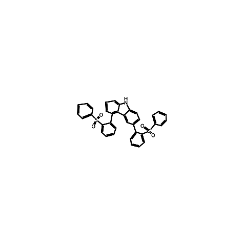 O=S(=O)(c1ccccc1)c1ccccc1-c1ccc2[nH]c3cccc(-c4ccccc4S(=O)(=O)c4ccccc4)c3c2c1